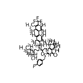 [2H]c1c([2H])c(C([2H])([2H])N(CCN(C([2H])([2H])C)C([2H])([2H])C)C(=O)Cn2c(SCc3ccc(F)cc3)nc(=O)c3c2C([2H])([2H])C([2H])([2H])C3([2H])[2H])c([2H])c([2H])c1-c1c([2H])c([2H])c(C(F)(F)F)c(C)c1[2H]